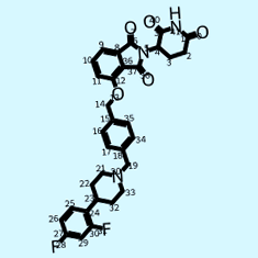 O=C1CCC(N2C(=O)c3cccc(OCc4ccc(CN5CCC(c6ccc(F)cc6F)CC5)cc4)c3C2=O)C(=O)N1